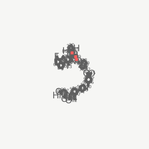 C#Cc1c(F)ccc2cccc(-c3ncc4c(N5C[C@H]6CC[C@@H](C5)N6C(=O)OC(C)(C)C)nc(OC[C@]56CCCN5[C@H](COC(=O)N5CCC(CN7CCC(c8ccc9c(c8)n(C)c(=O)n9C8CCC(=O)NC8=O)CC7)CC5)CC6)nc4c3F)c12